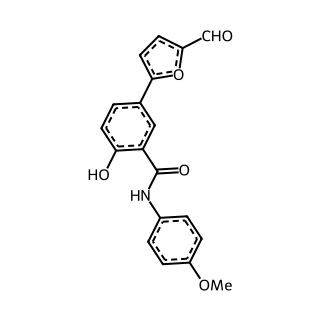 COc1ccc(NC(=O)c2cc(-c3ccc(C=O)o3)ccc2O)cc1